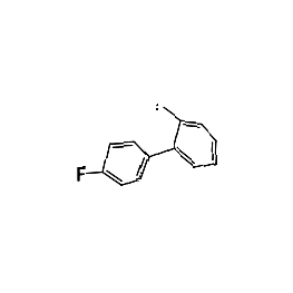 [CH]c1ccccc1-c1ccc(F)cc1